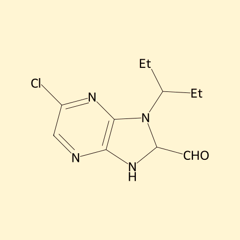 CCC(CC)N1c2nc(Cl)cnc2NC1C=O